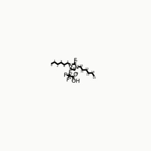 CCCCCCN1CCN(CCCCCC)C1F.O=C(O)C(F)(F)F